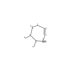 CC1NC=CCSC1C